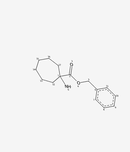 [NH]C1(C(=O)OCc2ccccc2)CCCCCC1